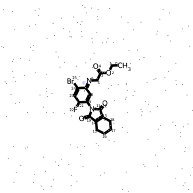 CCOC(=O)C/N=C1\C=C(N2C(=O)C3=C(CCCC3)C2=O)C(F)C=C1Br